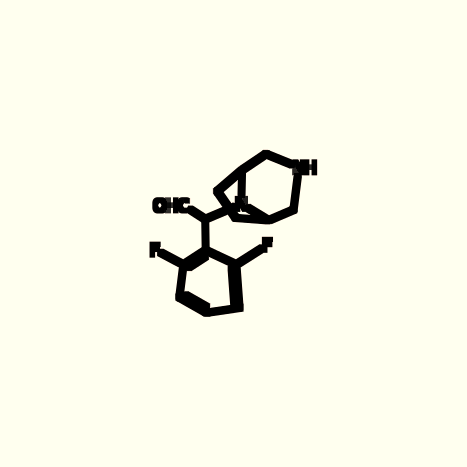 O=CC(c1c(F)cccc1F)N1C2CCC1CNC2